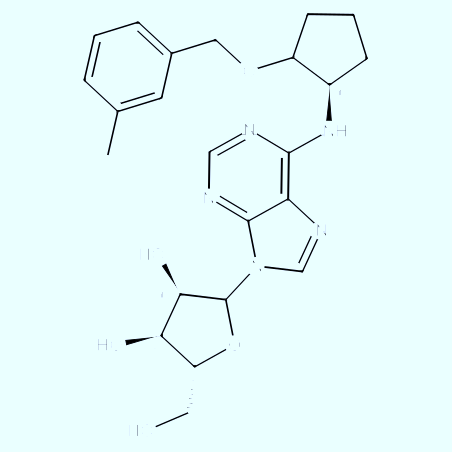 Cc1cccc(COC2CCC[C@H]2Nc2ncnc3c2ncn3C2O[C@H](CO)[C@@H](O)[C@H]2O)c1